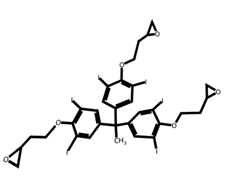 CC(c1cc(I)c(OCCC2CO2)c(I)c1)(c1cc(I)c(OCCC2CO2)c(I)c1)c1cc(I)c(OCCC2CO2)c(I)c1